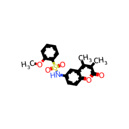 COc1ccccc1S(=O)(=O)Nc1ccc2oc(=O)c(C)c(C)c2c1